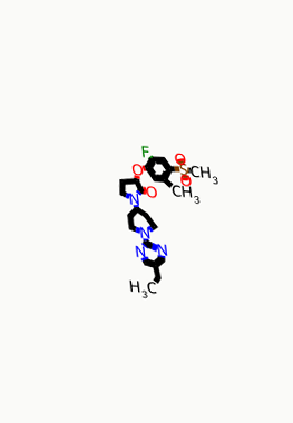 CCc1cnc(N2CCC(N3CCC(Oc4cc(C)c(S(C)(=O)=O)cc4F)C3=O)CC2)nc1